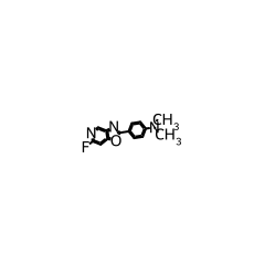 CN(C)c1ccc(-c2nc3cnc(F)cc3o2)cc1